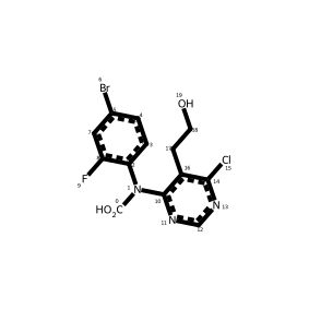 O=C(O)N(c1ccc(Br)cc1F)c1ncnc(Cl)c1CCO